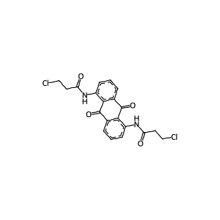 O=C(CCCl)Nc1cccc2c1C(=O)c1cccc(NC(=O)CCCl)c1C2=O